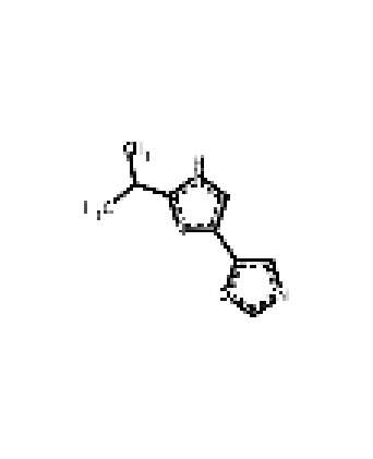 CC(C)c1nc(-c2cnco2)c[nH]1